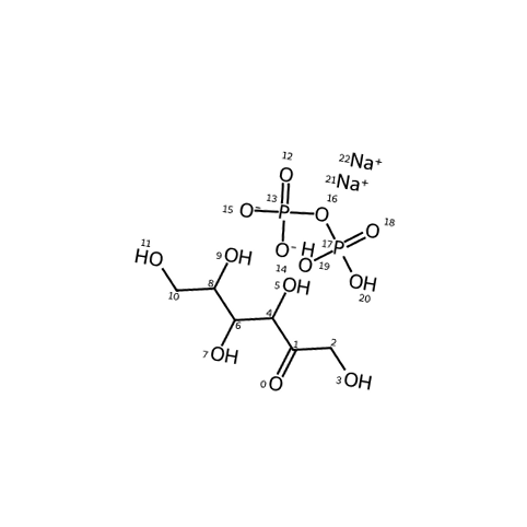 O=C(CO)C(O)C(O)C(O)CO.O=P([O-])([O-])OP(=O)(O)O.[Na+].[Na+]